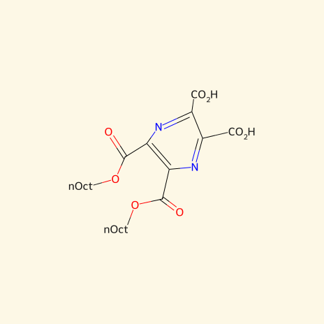 CCCCCCCCOC(=O)c1nc(C(=O)O)c(C(=O)O)nc1C(=O)OCCCCCCCC